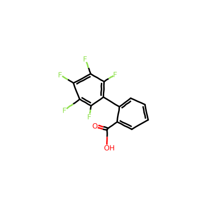 O=C(O)c1ccccc1-c1c(F)c(F)c(F)c(F)c1F